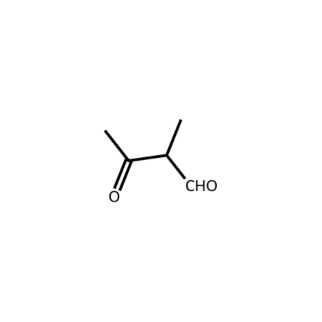 CC(=O)C(C)C=O